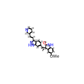 COc1ccc2c(c1)[C@]1(C[C@H]1c1ccc3c(C=Cc4cccnc4)n[nH]c3c1)C(=O)N2